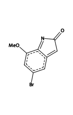 COc1cc(Br)cc2c1=NC(=O)C=2